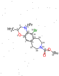 CCCN1CC(C)Oc2cc3c(c(Br)c21)CCN(C(=O)OC(C)(C)C)CC3